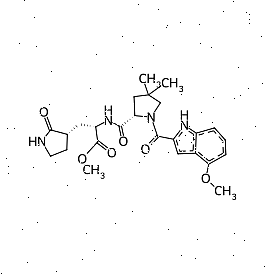 COC(=O)[C@H](C[C@@H]1CCNC1=O)NC(=O)[C@@H]1CC(C)(C)CN1C(=O)c1cc2c(OC)cccc2[nH]1